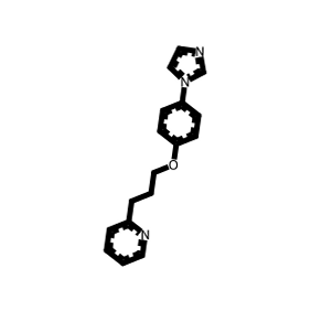 c1ccc(CCCOc2ccc(-n3ccnc3)cc2)nc1